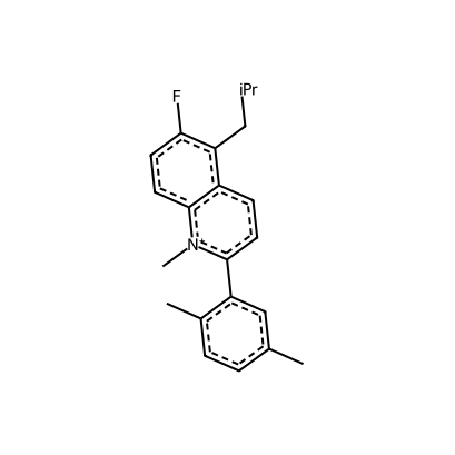 Cc1ccc(C)c(-c2ccc3c(CC(C)C)c(F)ccc3[n+]2C)c1